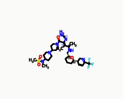 C=C(NC[C@H]1CCC[C@@H](C2C=CC(C(F)(F)F)=NC2)O1)/C(C)=C(\N=C/N)C(=O)N1CCC(N2CCC(N(C)S(C)(=O)=O)CC2)CC1